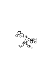 CCO[Si](CCCN(CCCc1cccc(Cl)c1O)CCCc1cccc(Cl)c1O)(OCC)OCC